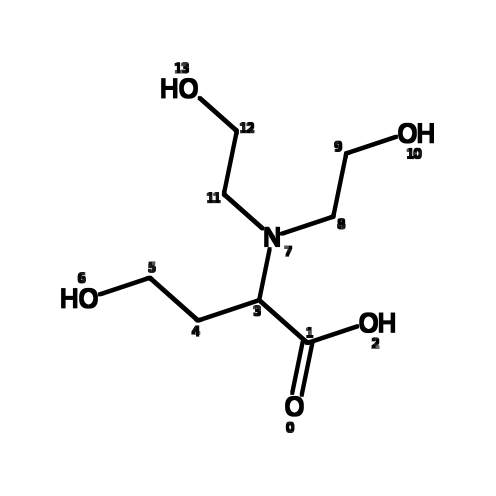 O=C(O)C(CCO)N(CCO)CCO